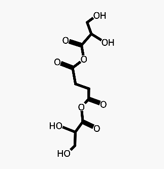 O=C(CCC(=O)OC(=O)C(O)CO)OC(=O)C(O)CO